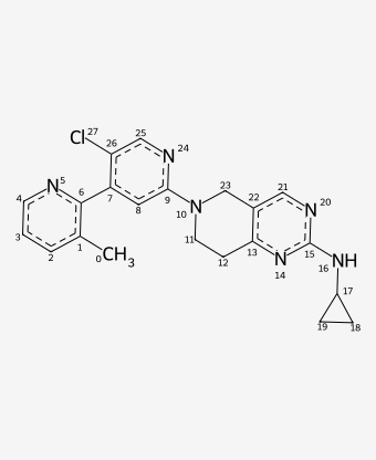 Cc1cccnc1-c1cc(N2CCc3nc(NC4CC4)ncc3C2)ncc1Cl